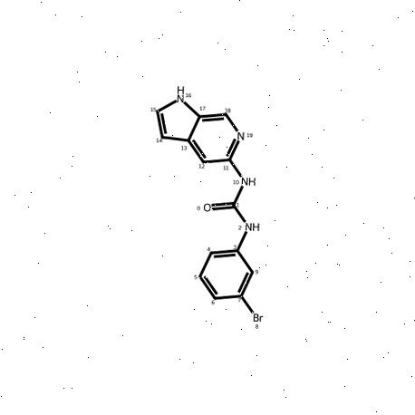 O=C(Nc1cccc(Br)c1)Nc1cc2cc[nH]c2cn1